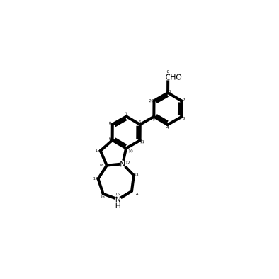 O=Cc1cccc(-c2ccc3c(c2)N2CCNCCC2C3)c1